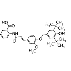 COc1cc(/C=C/C(=O)Nc2ccccc2C(=O)O)ccc1OCc1cc(C(C)(C)C)c(O)c(C(C)(C)C)c1